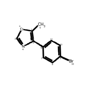 Cc1ocnc1-c1ccc(Br)cc1